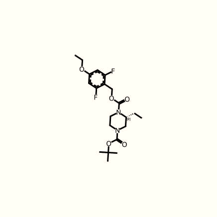 CCOc1cc(F)c(COC(=O)N2CCN(C(=O)OC(C)(C)C)C[C@H]2CC)c(F)c1